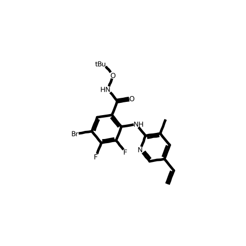 C=Cc1cnc(Nc2c(C(=O)NOC(C)(C)C)cc(Br)c(F)c2F)c(C)c1